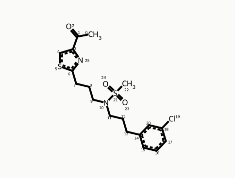 CC(=O)c1csc(CCCN(CCCc2cccc(Cl)c2)S(C)(=O)=O)n1